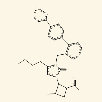 CCCCc1cn(C2C(C)CC2C(=O)O)c(=O)n1Cc1cnccc1-c1ccc(-c2nnn[nH]2)cc1